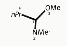 CCCC([N]C)OC